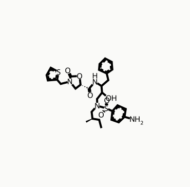 CC[C@@H](C)CN(CC(O)C(Cc1ccccc1)NC(=O)[C@@H]1CN(Cc2cccs2)C(=O)O1)S(=O)(=O)c1ccc(N)cc1